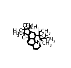 CCC1(C)c2cc3c(c4ccc5ccc[n+](c5c24)C1(C)CC)C(C)(C)C(C)(C)C3(C)C